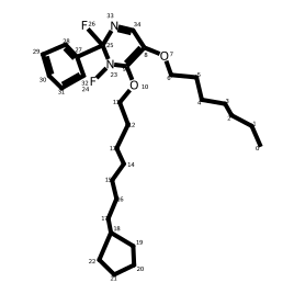 CCCCCCCOC1=C(OCCCCCCCC2CCCC2)N(F)C(F)(c2ccccc2)N=C1